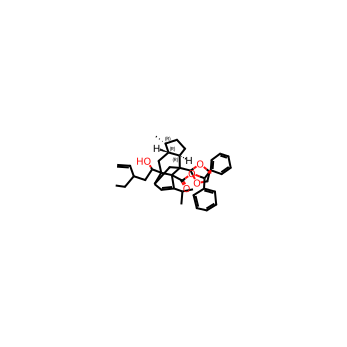 C=CC(CC)CC(O)C12C[C@@H]3[C@H](C)CC[C@H]3C3(C4OCCO4)CC1C=C(C(C)C)C23C(=O)OC(c1ccccc1)c1ccccc1